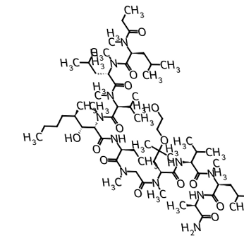 CCCC[C@@H](C)[C@@H](O)[C@@H](C(=O)N[C@@H](CC)C(=O)N(C)CC(=O)N(C)[C@@H](CC(C)(C)OCCO)C(=O)N[C@H](C(=O)N(C)[C@@H](CC(C)C)C(=O)N[C@H](C)C(N)=O)C(C)C)N(C)C(=O)[C@H](C(C)C)N(C)C(=O)[C@H](CC(C)C)N(C)C(=O)[C@H](CC(C)C)N(C)C(=O)CC